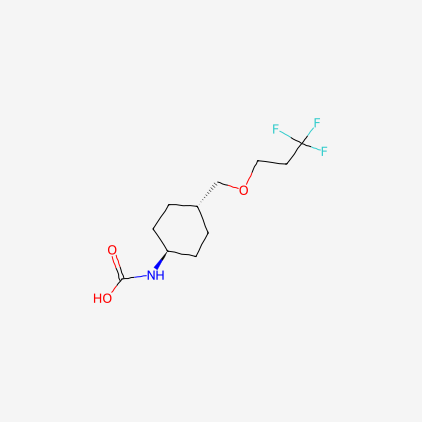 O=C(O)N[C@H]1CC[C@H](COCCC(F)(F)F)CC1